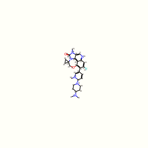 CN(C)C1CCN(C2C=CC(c3c(F)cc4ncc5c6c4c3OCC3(CC3)n6c(=O)n5C)=CN2C)CC1